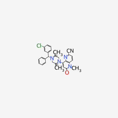 C[C@@H]1CN(c2cc(=O)n(C)c3ccc(C#N)nc23)[C@@H](C)CN1C(c1ccccc1)c1cccc(Cl)c1